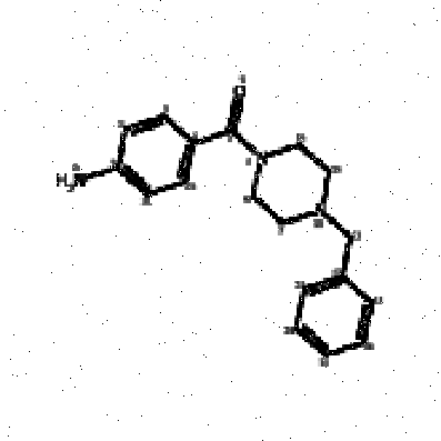 Nc1ccc(C(=O)N2CCN(Cc3ccccc3)CC2)cc1